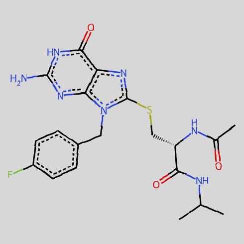 CC(=O)N[C@@H](CSc1nc2c(=O)[nH]c(N)nc2n1Cc1ccc(F)cc1)C(=O)NC(C)C